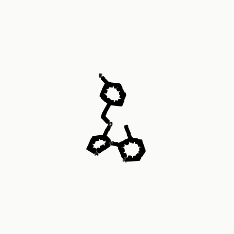 Cc1cccnc1-n1nccc1OCc1cccc(F)c1